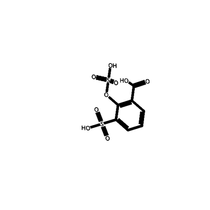 O=C(O)c1cccc(S(=O)(=O)O)c1OS(=O)(=O)O